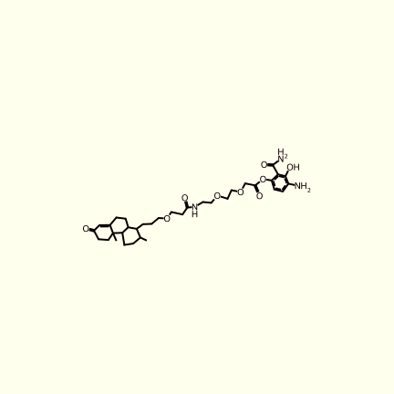 CC1CCC2C(CCC3=CC(=O)CCC32C)C1CCCOCCC(=O)NCCOCCOCC(=O)Oc1ccc(N)c(O)c1C(N)=O